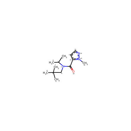 CC(C)N(CC(C)(C)C)C(=O)c1ccnn1C